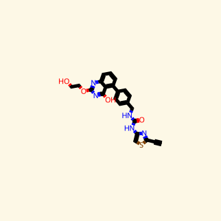 C#Cc1nc(NC(=O)NCc2ccc(-c3cccc4nc(OCCO)nc(O)c34)cc2)cs1